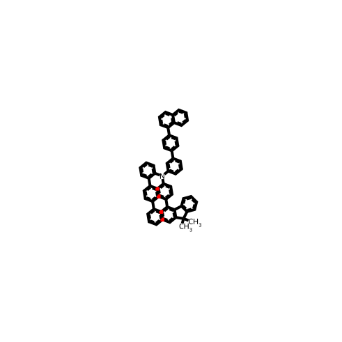 CC1(C)c2ccccc2-c2c(-c3ccc(N(c4cccc(-c5ccc(-c6cccc7ccccc67)cc5)c4)c4ccccc4-c4ccc(-c5ccccc5)cc4)cc3)cccc21